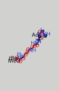 COC(=O)[C@H](CCC(=O)NCCOCCOCC(=O)NCCOCCOCC(=O)NCc1ncc(-c2ccc3c(c2)c(C(C)=O)nn3CC(=O)N2[C@H](I)[C@@H](C)C[C@H]2C(=O)Nc2nc(Br)ccc2C)cn1)NC(=O)OC(C)(C)C